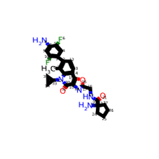 Cc1c(-c2cc(F)c(N)cc2F)ccc2c3oc(CNC(=O)C4(N)CCCC4)nc3c(=O)n(C3CC3)c12